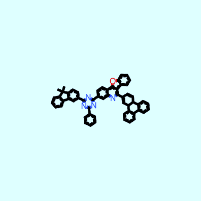 CC1(C)c2ccccc2-c2cc(-c3nc(-c4ccccc4)nc(-c4ccc5c(c4)nc(C4=CC6c7ccccc7-c7ccccc7C6C=C4)c4c6ccccc6oc54)n3)ccc21